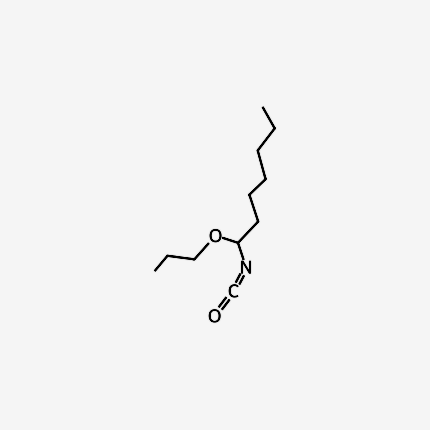 CCCCCCC(N=C=O)OCCC